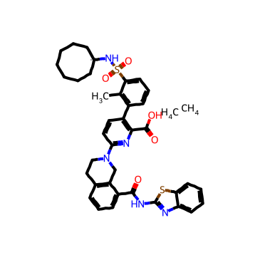 C.C.Cc1c(-c2ccc(N3CCc4cccc(C(=O)Nc5nc6ccccc6s5)c4C3)nc2C(=O)O)cccc1S(=O)(=O)N[C]1CCCCCCC1